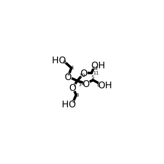 OCOC(OCO)(OCO)OCO